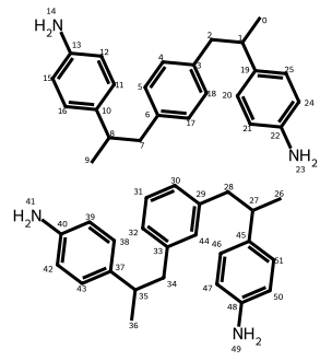 CC(Cc1ccc(CC(C)c2ccc(N)cc2)cc1)c1ccc(N)cc1.CC(Cc1cccc(CC(C)c2ccc(N)cc2)c1)c1ccc(N)cc1